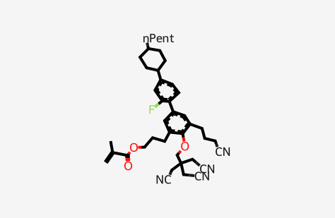 C=C(C)C(=O)OCCCc1cc(-c2ccc(C3CCC(CCCCC)CC3)cc2F)cc(CCCC#N)c1OCC(CC#N)(CC#N)CC#N